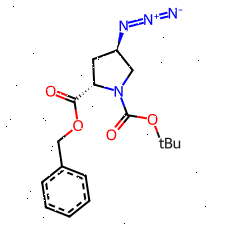 CC(C)(C)OC(=O)N1C[C@H](N=[N+]=[N-])C[C@H]1C(=O)OCc1ccccc1